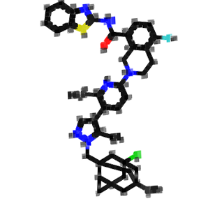 COC12CC3(Cl)CC4(CC4C(Cn4ncc(-c5ccc(N6CCc7c(F)ccc(C(=O)Nc8nc9ccccc9s8)c7C6)nc5C(=O)O)c4C)(C3)C1)C2